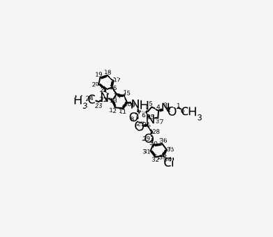 CCON=C1C[C@@H](C(=O)Nc2ccc3c(c2)c2ccccc2n3CC)N(C(=O)COc2ccc(Cl)cc2)C1